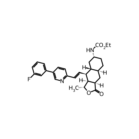 CCOC(=O)N[C@@H]1CC[C@H]2C[C@H]3C(=O)O[C@H](C)[C@H]3[C@@H](/C=C/c3ccc(-c4cccc(F)c4)cn3)[C@@H]2C1